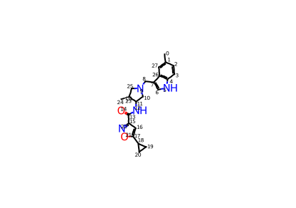 Cc1ccc2[nH]cc(CN3CC(NC(=O)c4cc(C5CC5)on4)[C@@H](C)C3)c2c1